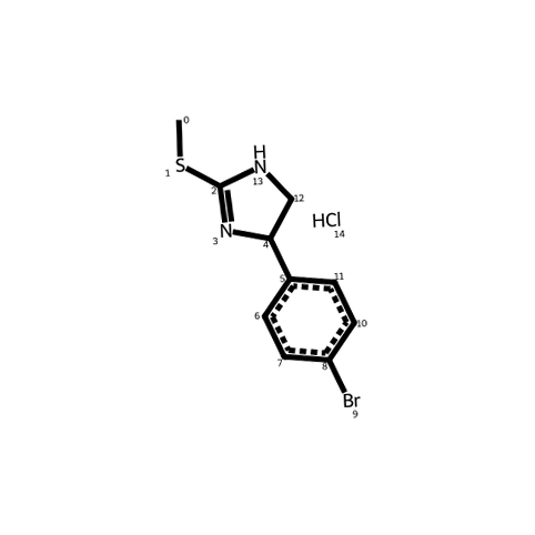 CSC1=NC(c2ccc(Br)cc2)CN1.Cl